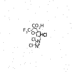 Cl.O=C(O)C1=Cc2cc(Cl)c(Cn3cnc(Cl)c3Cl)cc2OC1C(F)(F)F